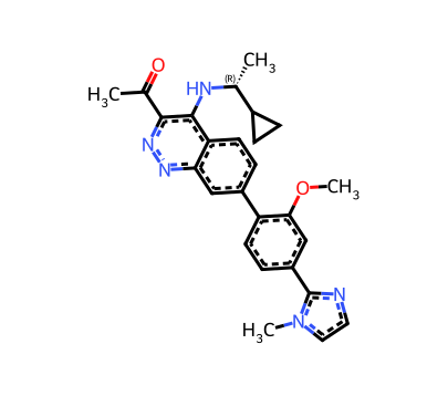 COc1cc(-c2nccn2C)ccc1-c1ccc2c(N[C@H](C)C3CC3)c(C(C)=O)nnc2c1